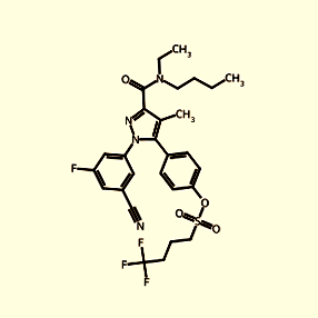 CCCCN(CC)C(=O)c1nn(-c2cc(F)cc(C#N)c2)c(-c2ccc(OS(=O)(=O)CCCC(F)(F)F)cc2)c1C